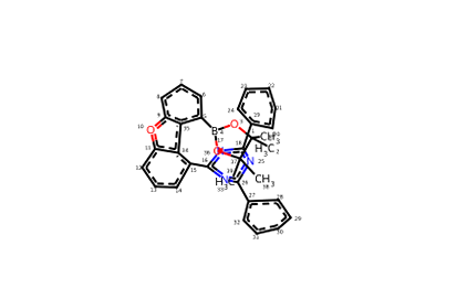 CC1(C)OB(c2cccc3oc4cccc(-c5nc(-c6ccccc6)nc(-c6ccccc6)n5)c4c23)OC1(C)C